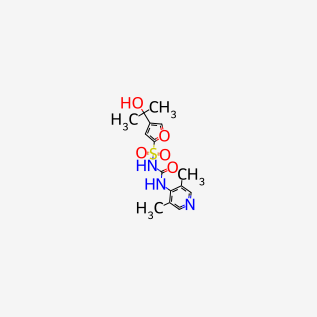 Cc1cncc(C)c1NC(=O)NS(=O)(=O)c1cc(C(C)(C)O)co1